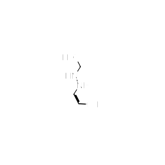 C/C=C\NNCC